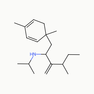 C=C(C(C)CC)C(CC1(C)C=CC(C)=CC1)NC(C)C